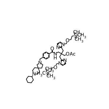 CC(=O)OCC(CNC(=O)c1ccc(CN2CCC3(CCN(C4CCCCC4)CC3)C2)cc1)(Cc1nccn1COCC[Si](C)(C)C)Cc1nccn1COCC[Si](C)(C)C